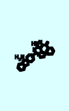 C=C(c1ccccc1)c1n[nH]c2nc(N3CCC4(CC3)Cc3ccccc3[C@H]4N)n3ccnc3c12